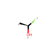 C[C@H](O)F